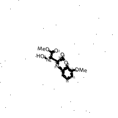 COC(=O)C(=NO)c1nc2cccc(OC)c2oc1=O